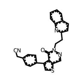 N#CCc1ccc(-c2csc3cnn(CCc4ccc5ccccc5n4)c(=O)c23)cc1